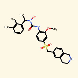 COc1cc(S(=O)(=O)Cc2ccc3c(c2)CCNC3)ccc1NC(=O)N(O)C(C)c1cccc(C)c1C